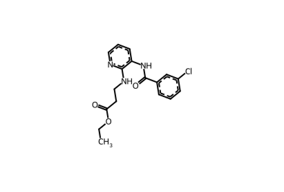 CCOC(=O)CCNc1ncccc1NC(=O)c1cccc(Cl)c1